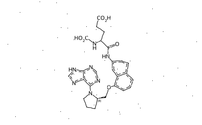 O=C(O)CCC(NC(=O)O)C(=O)Nc1ccc2cccc(OC[C@H]3CCCN3c3ncnc4[nH]cnc34)c2c1